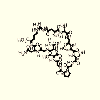 C[C@@H](O)[C@H](NC(=O)[C@H](CO)NC(=O)CNC(=O)[C@@H]1CCCN1C(=O)CNC(=O)[C@H](CO)NC(=O)[C@H](CO)NC(=O)CNC(=O)[C@H](CO)NC(=O)[C@@H](N)CC(N)=O)C(=O)NCC(=O)N[C@@H](CC(N)=O)C(=O)N[C@@H](CCCNC(=N)N)C(=O)O